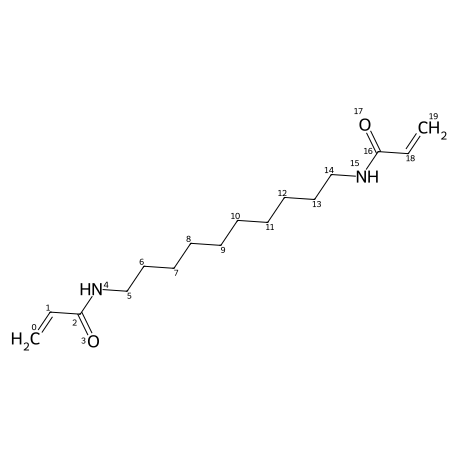 C=CC(=O)NCCCCCCCCCCNC(=O)C=C